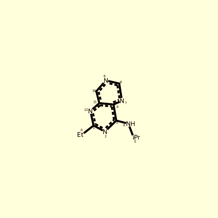 CCc1nc(NC(C)C)c2ncncc2n1